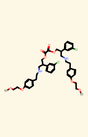 CCOCCOc1ccc(CCNCC(COC(=O)C(=O)OCC(CNCCc2ccc(OCCOCC)cc2)c2cccc(Cl)c2)c2cccc(Cl)c2)cc1